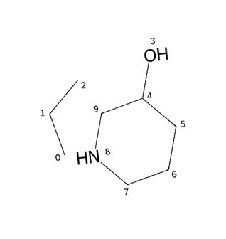 CCC.OC1CCCNC1